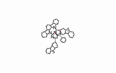 c1ccc(-c2ccc(-n3c4ccccc4c4ccc5c6ccccc6n(-c6nc(-c7ccc8sc9ccccc9c8c7)cc(-c7ccc8sc9ccccc9c8c7)n6)c5c43)cc2)cc1